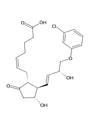 O=C(O)CCC/C=C\C[C@H]1C(=O)C[C@@H](O)[C@@H]1/C=C/[C@@H](O)COc1cccc(Cl)c1